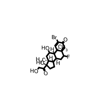 C[C@]12C=C(Br)C(=O)C=C1C(F)C[C@@H]1[C@@H]2C(O)C[C@@]2(C)[C@H]1CC[C@]2(O)C(=O)CO